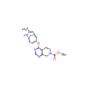 CC1=CC2=CC(Oc3ncnc4c3CCN(C(=O)OC(C)(C)C)C4)=CC=C(C2)N1